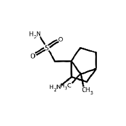 CC1(C)C2CCC1(CS(N)(=O)=O)C(N)C2